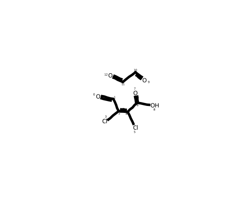 O=C/C(Cl)=C(/Cl)C(=O)O.O=CC=O